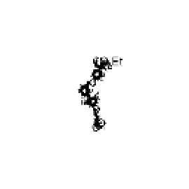 CCOC(=O)CC1(c2ccc(OCc3cccc(-c4c(C)cc(OCCCS(C)(=O)=O)cc4C)c3)cc2)COC1